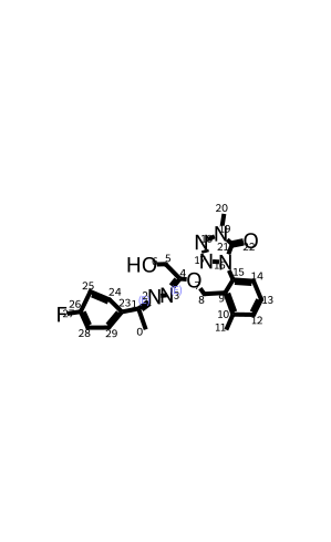 C/C(=N\N=C(/CO)OCc1c(C)cccc1-n1nnn(C)c1=O)c1ccc(F)cc1